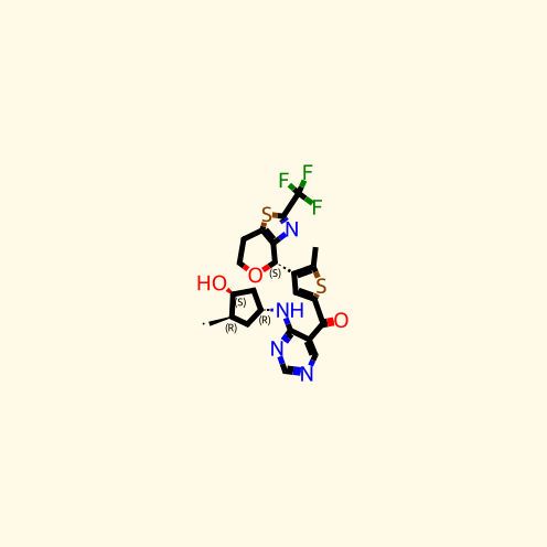 [CH2][C@@H]1C[C@@H](Nc2ncncc2C(=O)c2cc([C@@H]3OCCc4sc(C(F)(F)F)nc43)c(C)s2)C[C@@H]1O